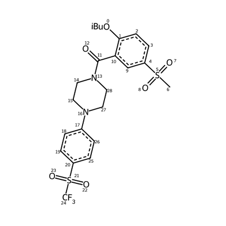 CC(C)COc1ccc(S(C)(=O)=O)cc1C(=O)N1CCN(c2ccc(S(=O)(=O)C(F)(F)F)cc2)CC1